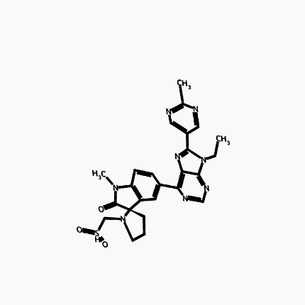 CCn1c(-c2cnc(C)nc2)nc2c(-c3ccc4c(c3)[C@@]3(CCCN3C[SH](=O)=O)C(=O)N4C)ncnc21